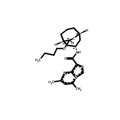 CCCCO[C@@H]1C[C@@H]2CCC[C@H]1C[C@@H](NC(=O)c1ncn3c(C)cc(C)nc13)C2